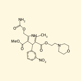 COC(=O)C1=C(COC(N)=O)NC(C)=C(C(=O)OCCN2CCOCC2)C1c1cccc([N+](=O)[O-])c1